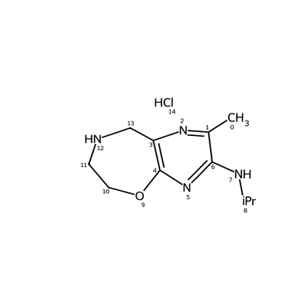 Cc1nc2c(nc1NC(C)C)OCCNC2.Cl